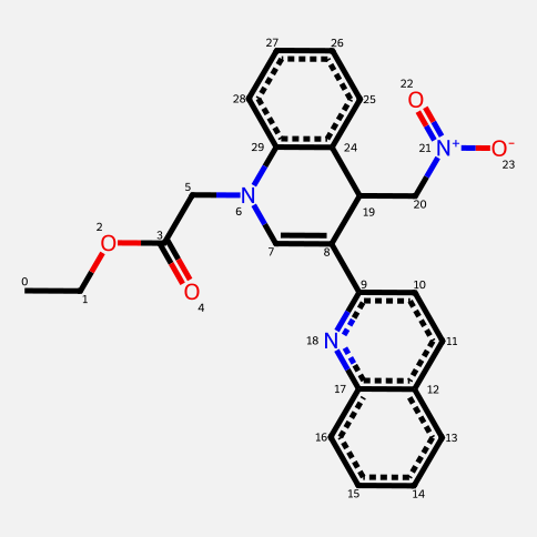 CCOC(=O)CN1C=C(c2ccc3ccccc3n2)C(C[N+](=O)[O-])c2ccccc21